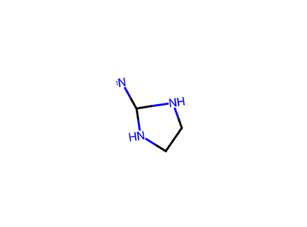 [N]C1NCCN1